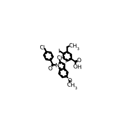 CCc1cc(C(=O)O)ccc1I.COc1ccc2c(c1)cc(C)n2C(=O)c1ccc(Cl)cc1